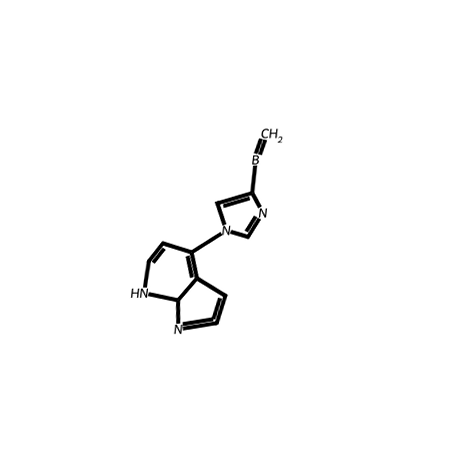 C=Bc1cn(C2=C3C=C=NC3NC=C2)cn1